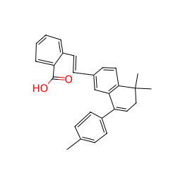 Cc1ccc(C2=CCC(C)(C)c3ccc(C=Cc4ccccc4C(=O)O)cc32)cc1